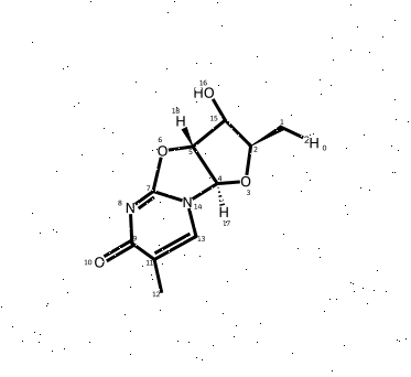 [2H]C[C@H]1O[C@@H]2[C@H](Oc3nc(=O)c(C)cn32)C1O